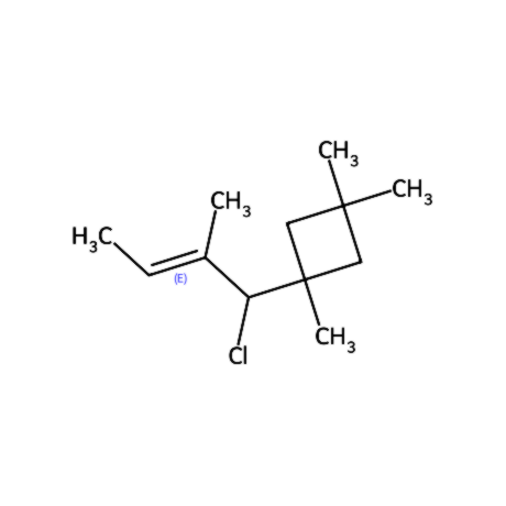 C/C=C(\C)C(Cl)C1(C)CC(C)(C)C1